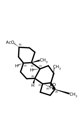 CC(=O)O[C@@H]1CC[C@@]2(C)[C@@H](CC[C@H]3[C@@H]4CCC5[C@@H](C)O[C@H](C)C54CC[C@@H]32)C1